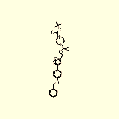 CC(C)(C)OC(=O)N1CCN(C(=O)OCc2cc(-c3ccc(OCc4ccccc4)cc3)no2)CC1